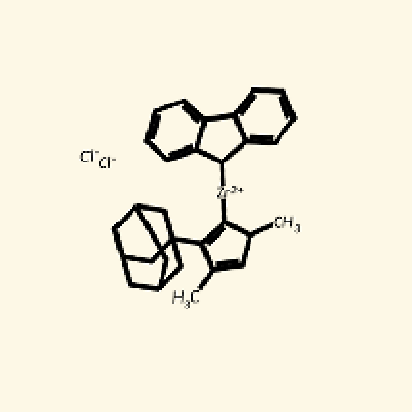 CC1=CC(C)[C]([Zr+2][CH]2c3ccccc3-c3ccccc32)=C1C12CC3CC(CC(C3)C1)C2.[Cl-].[Cl-]